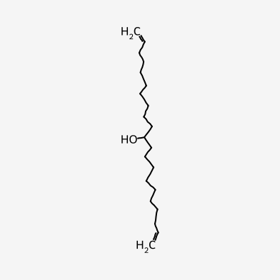 C=CCCCCCCCCC(O)CCCCCCCCC=C